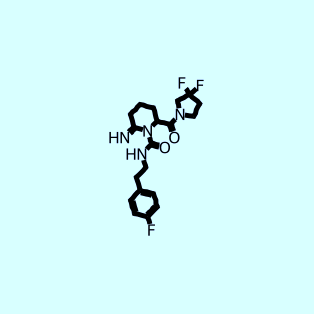 N=C1CCCC(C(=O)N2CCC(F)(F)C2)N1C(=O)NCCc1ccc(F)cc1